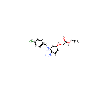 CCOC(=O)COc1ccc(N)c(NCc2ccc(Cl)cc2)c1